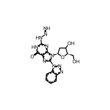 N=NNc1nc2c(nc(-n3nnc4ccccc43)n2[C@H]2CC(O)[C@@H](CO)O2)c(=O)[nH]1